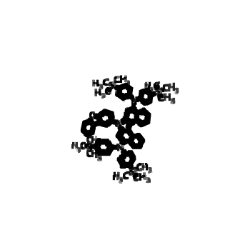 C[Si](C)(C)c1ccc(N(c2ccc([Si](C)(C)C)cc2)c2cc3c(c4ccccc24)c2c4ccccc4c(N(c4ccc([Si](C)(C)C)cc4)c4ccc([Si](C)(C)C)cc4)cc2n3-c2ccc3oc4ccccc4c3c2)cc1